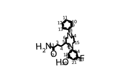 NC(=O)CCC1CN(c2ccccc2)CCN1c1cc(O)cc(F)c1